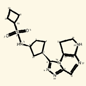 O=S(=O)(N[C@H]1CC[C@@H](c2nnc3cnc4c(n23)CCN4)C1)C1CCC1